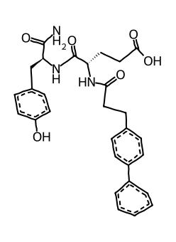 NC(=O)[C@H](Cc1ccc(O)cc1)NC(=O)[C@H](CCC(=O)O)NC(=O)CCc1ccc(-c2ccccc2)cc1